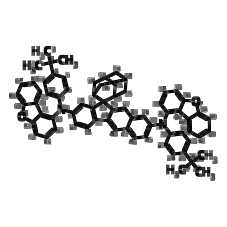 CC(C)(C)c1ccc(N(c2ccc3c(c2)C2(c4cc5cc(N(c6ccc(C(C)(C)C)cc6)c6cccc7oc8ccccc8c67)ccc5cc4-3)C3CC4CC(C3)CC2C4)c2cccc3oc4ccccc4c23)cc1